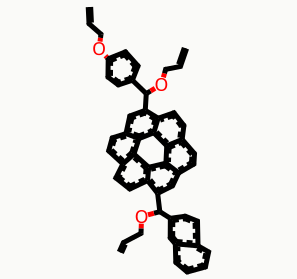 C=CCOc1ccc(C(OCC=C)c2cc3ccc4ccc5c(C(OCC=C)c6ccc7ccccc7c6)cc6ccc7ccc2c2c7c6c5c4c32)cc1